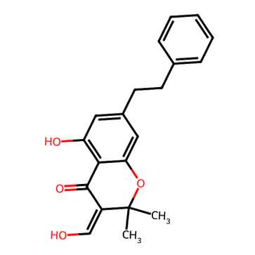 CC1(C)Oc2cc(CCc3ccccc3)cc(O)c2C(=O)C1=CO